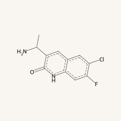 CC(N)c1cc2cc(Cl)c(F)cc2[nH]c1=O